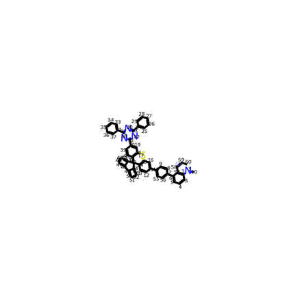 C=Nc1cccc(-c2ccc(-c3ccc4c(c3)Sc3cc(-c5nc(-c6ccccc6)nc(-c6ccccc6)n5)ccc3C43c4ccccc4-c4ccccc43)cc2)c1/C=C\C